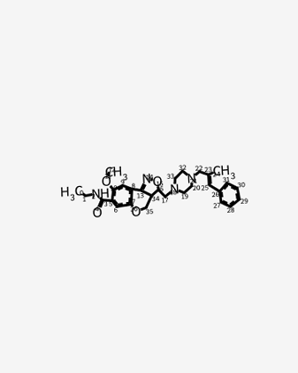 CCNC(=O)c1cc2c(cc1OC)C1=NOC(CN3CCN(CC(C)=Cc4ccccc4)CC3)C1CO2